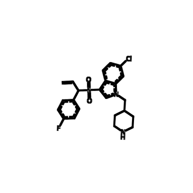 C=CC(c1ccc(F)cc1)S(=O)(=O)c1cn(CC2CCNCC2)c2cc(Cl)ccc12